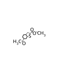 CCOC(=O)C1Cc2ccc(C(C)=O)cc2S1